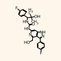 CC(C)(O)C(NC(=O)Nc1cc2[nH]nc(-c3ccc(F)cc3)c2c(CO)n1)c1ccc(F)cc1